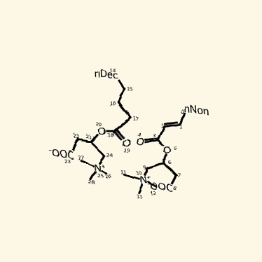 CCCCCCCCCC=CC(=O)OC(CC(=O)[O-])C[N+](C)(C)C.CCCCCCCCCCCCCC(=O)OC(CC(=O)[O-])C[N+](C)(C)C